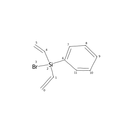 C=C[Si](Br)(C=C)c1ccccc1